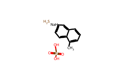 Cc1cccc2ccccc12.O=S(=O)(O)O.S.[NaH]